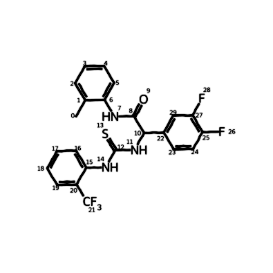 Cc1ccccc1NC(=O)C(NC(=S)Nc1ccccc1C(F)(F)F)c1ccc(F)c(F)c1